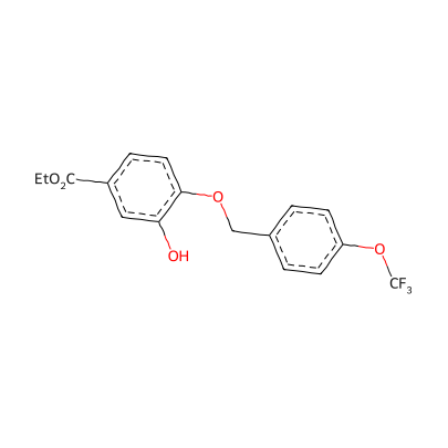 CCOC(=O)c1ccc(OCc2ccc(OC(F)(F)F)cc2)c(O)c1